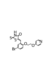 O=C1NC(=S)S/C1=C\c1cc(Br)ccc1OCCOc1ccncc1